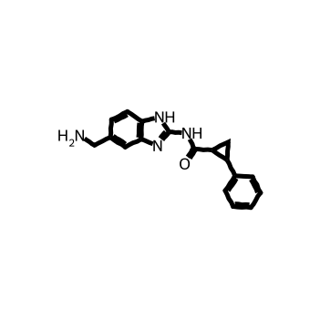 NCc1ccc2[nH]c(NC(=O)C3CC3c3ccccc3)nc2c1